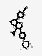 C[C@@H]1CN(c2ccc(-c3cnc4c(-c5ccc(C#N)cc5)cccc4c3C3CC3)cn2)C[C@H](C)O1